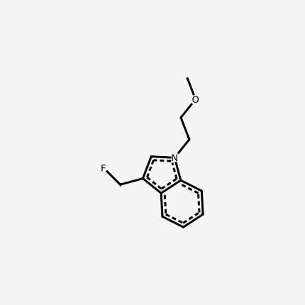 COCCn1cc([CH]F)c2ccccc21